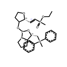 CCOP(C)(=O)/C=C/[C@H]1OCCC1OP1O[C@H](C[Si](C)(c2ccccc2)c2ccccc2)[C@@H]2CCCN21